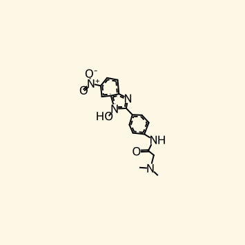 CN(C)CC(=O)Nc1ccc(-c2nc3ccc([N+](=O)[O-])cc3n2O)cc1